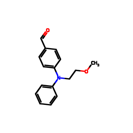 COCCN(c1ccccc1)c1ccc(C=O)cc1